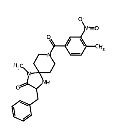 Cc1ccc(C(=O)N2CCC3(CC2)NC(Cc2ccccc2)C(=O)N3C)cc1[N+](=O)[O-]